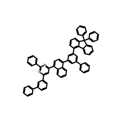 c1ccc(-c2cccc(-c3cc(-c4ccc(-c5cc(-c6ccccc6)cc(-c6cccc7c6-c6ccccc6C7(c6ccccc6)c6ccccc6)c5)c5ccccc45)nc(-c4ccccc4)n3)c2)cc1